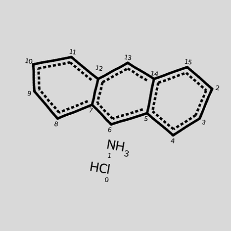 Cl.N.c1ccc2cc3ccccc3cc2c1